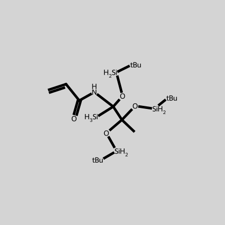 C=CC(=O)NC([SiH3])(O[SiH2]C(C)(C)C)C(C)(O[SiH2]C(C)(C)C)O[SiH2]C(C)(C)C